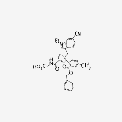 CCn1cc(Cc2ccc(C(=O)NCC(=O)O)cc2-c2ccc(C)cc2C(=O)OCc2ccccc2)c2ccc(C#N)cc21